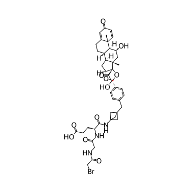 C[C@]12C=CC(=O)C=C1CC[C@@H]1[C@@H]2[C@@H](O)C[C@@]2(C)[C@H]1C[C@H]1O[C@@H](c3ccc(CC45CC(NC(=O)[C@H](CCC(=O)O)NC(=O)CNC(=O)CBr)(C4)C5)cc3)O[C@]12C(=O)CO